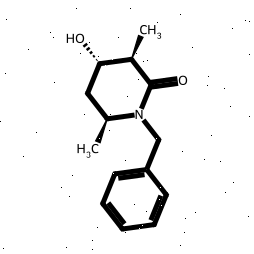 C[C@H]1C(=O)N(Cc2ccccc2)[C@@H](C)C[C@@H]1O